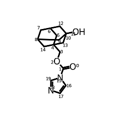 O=C(OCC12CC3CC(CC(O)(C3)C1)C2)n1ccnc1